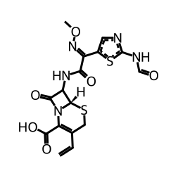 C=CC1=C(C(=O)O)N2C(=O)C(NC(=O)C(=NOC)c3cnc(NC=O)s3)[C@@H]2SC1